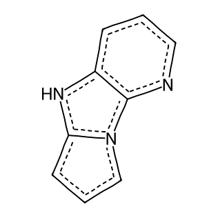 c1cnc2c(c1)[nH]c1cccn12